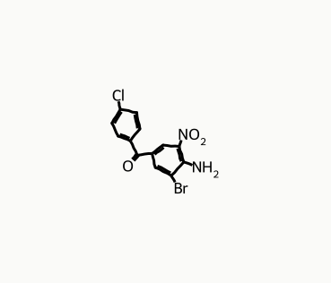 Nc1c(Br)cc(C(=O)c2ccc(Cl)cc2)cc1[N+](=O)[O-]